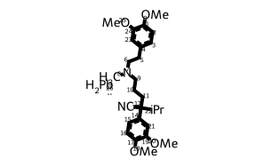 COc1ccc(CCN(C)CCCC(C#N)(c2ccc(OC)c(OC)c2)C(C)C)cc1OC.[PbH2]